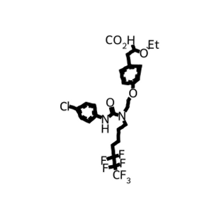 CCOC(Cc1ccc(OCCN(CCCCC(F)(F)C(F)(F)C(F)(F)F)C(=O)Nc2ccc(Cl)cc2)cc1)C(=O)O